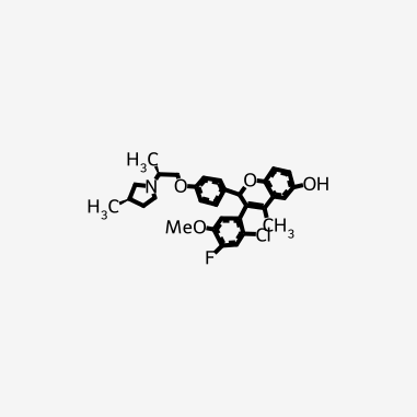 COc1cc(C2=C(C)c3cc(O)ccc3OC2c2ccc(OC[C@H](C)N3CC[C@@H](C)C3)cc2)c(Cl)cc1F